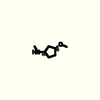 CN[C@@H]1CC[C@@H](OC)C1